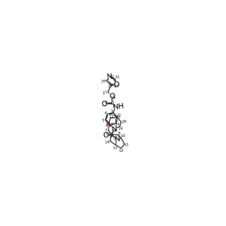 O=C(Nc1ccc(CC2CC3CCC(C2)N3C(=O)N2CCCCC2)cc1)OCc1cnco1